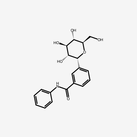 O=C(Nc1ccccc1)c1cccc([C@H]2O[C@H](CO)[C@@H](O)[C@H](O)[C@H]2O)c1